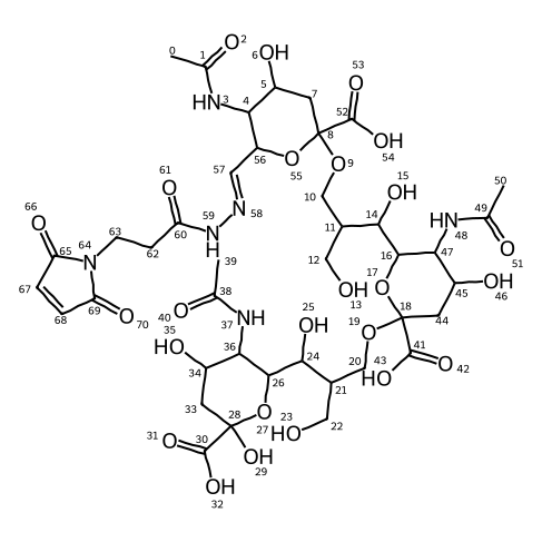 CC(=O)NC1C(O)CC(OCC(CO)C(O)C2OC(OCC(CO)C(O)C3OC(O)(C(=O)O)CC(O)C3NC(C)=O)(C(=O)O)CC(O)C2NC(C)=O)(C(=O)O)OC1/C=N/NC(=O)CCN1C(=O)C=CC1=O